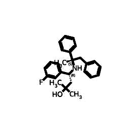 CC(C)(O)C[C@@H](N[C@@](C)(Cc1ccccc1)c1ccccc1)c1cccc(F)c1